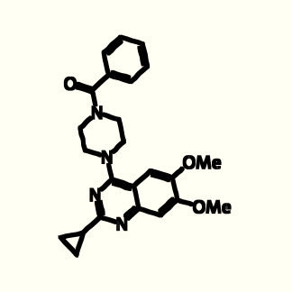 COc1cc2nc(C3CC3)nc(N3CCN(C(=O)c4ccccc4)CC3)c2cc1OC